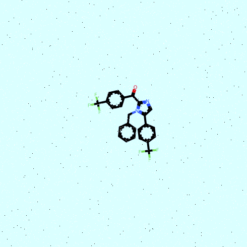 O=C(c1ccc(C(F)(F)F)cc1)c1ncc(-c2ccc(C(F)(F)F)cc2)n1Cc1ccccc1